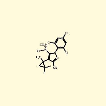 CC(C)N(C(=O)O)c1c(C2(C(F)(F)F)CC2(F)F)c(C#N)nn1-c1c(Cl)cc(C(F)(F)F)cc1Cl